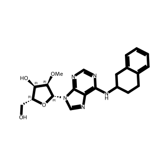 CO[C@@H]1[C@H](O)[C@@H](CO)O[C@H]1n1cnc2c(NC3CCc4ccccc4C3)ncnc21